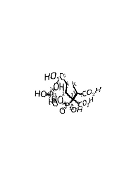 O=C(O)CCC(C(=O)O)(C(I)C(=O)O)P(=O)(O)O.O=[PH](O)O